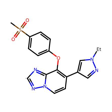 CCn1cc(-c2ccn3n[c]nc3c2Oc2ccc(S(C)(=O)=O)cc2)cn1